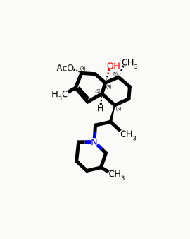 CC(=O)O[C@@H]1[CH][C@@]2(O)[C@H](C)CC[C@@H](C(C)CN3CCCC(C)C3)[C@H]2C=C1C